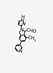 Cc1cc(-c2cccnc2)cc2c1C(C=O)N(c1cc[nH]n1)C2